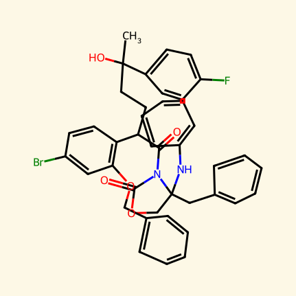 CC(O)(CCC(C(=O)N1C(=O)OCC1(Cc1ccccc1)Nc1ccccc1)c1ccc(Br)cc1OCc1ccccc1)c1ccc(F)cc1